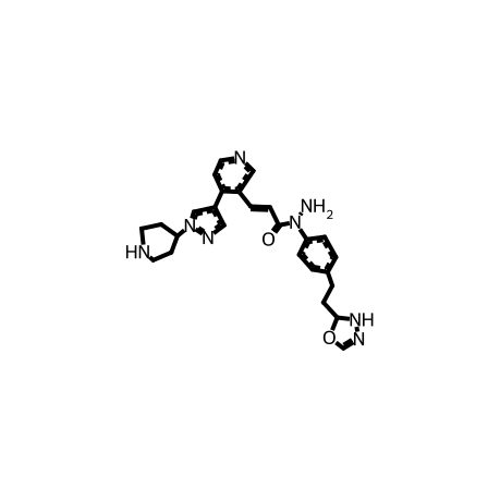 NN(C(=O)/C=C/c1cnccc1-c1cnn(C2CCNCC2)c1)c1ccc(CCC2NN=CO2)cc1